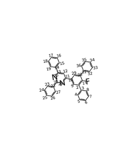 Fc1c(-c2ccccc2)cc(-c2cc(-c3ccccc3)nc(-c3ccccc3)n2)cc1-c1ccccc1